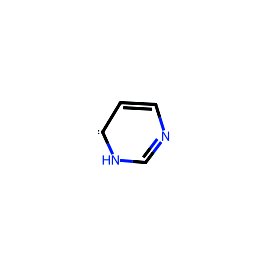 [C]1C=CN=CN1